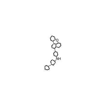 c1ccc(-c2ccc(Nc3ccc(-c4ccc5c6c(cccc46)Oc4ccccc4-5)cc3)cc2)cc1